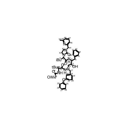 CCC(C)C(C(=O)NC(Cc1ccccc1)C(O)CN(Cc1cccc(Oc2ccccc2)c1)NC(=O)C(NC(=O)OC)C(C)(C)C)N1CCN(Cc2cccc(C)n2)C1=O